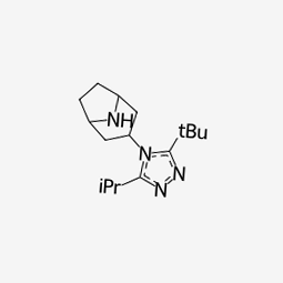 CC(C)c1nnc(C(C)(C)C)n1C1CC2CCC(C1)N2